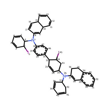 IC1C=CC=CC1N(C1=CC2C=CC=CC2C=C1)c1ccc(C2C=CC(N(C3=Cc4ccccc4CC3)C3C=CC=CC3)CC2I)cc1